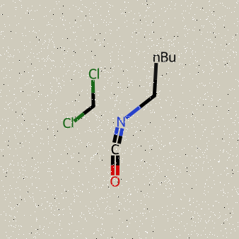 CCCCCN=C=O.ClCCl